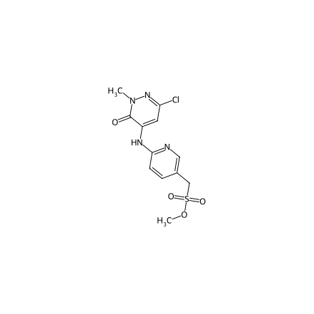 COS(=O)(=O)Cc1ccc(Nc2cc(Cl)nn(C)c2=O)nc1